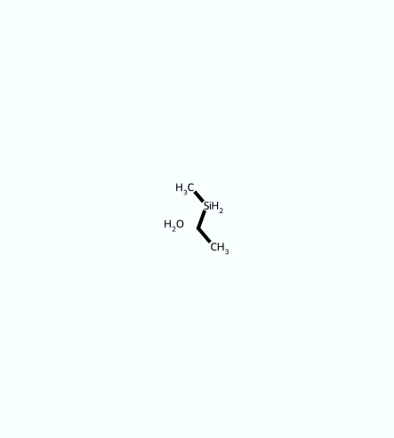 CC[SiH2]C.O